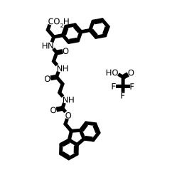 O=C(O)C(F)(F)F.O=C(O)CC(NC(=O)CNC(=O)CCNC(=O)OCC1c2ccccc2-c2ccccc21)c1ccc(-c2ccccc2)cc1